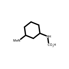 CNC1CCCC(NC(=O)O)C1